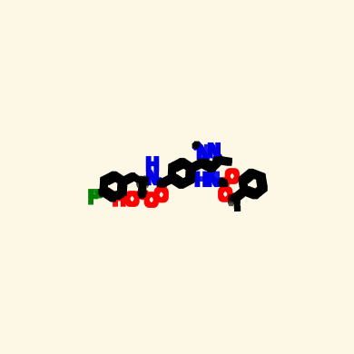 Cc1nn(C)c(-c2ccc(C(=O)N[C@H](Cc3ccc(F)cc3)C(=O)O)cc2)c1NC(=O)O[C@H](C)c1ccccc1